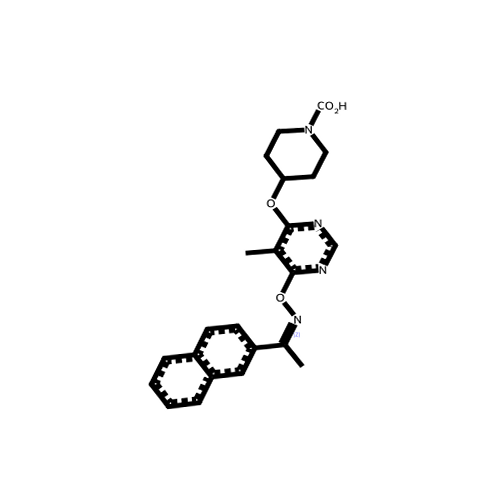 C/C(=N/Oc1ncnc(OC2CCN(C(=O)O)CC2)c1C)c1ccc2ccccc2c1